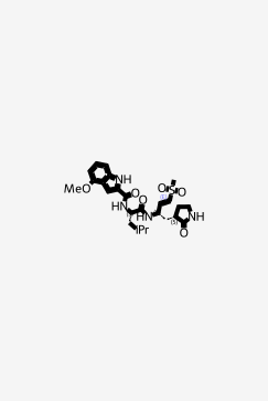 COc1cccc2[nH]c(C(=O)N[C@@H](CC(C)C)C(=O)N[C@H](/C=C/S(C)(=O)=O)C[C@@H]3CCNC3=O)cc12